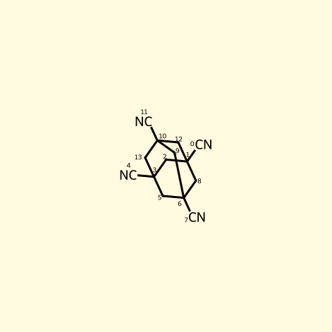 N#CC12CC3(C#N)CC(C#N)(C1)CC(C#N)(C2)C3